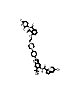 CC(C)(O)c1cc2nn(C3CCC(N4CCN(CCNc5cccc6c5C(=O)N(C5CCC(=O)NC5=O)C6=O)CC4)CC3)cc2cc1NC(=O)c1ccc2cc(C#N)cnn12